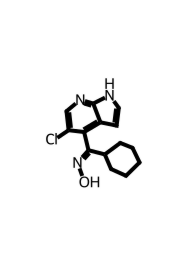 O/N=C(/c1c(Cl)cnc2[nH]ccc12)C1CCCCC1